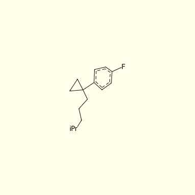 CC(C)CCCC1(c2ccc(F)cc2)CC1